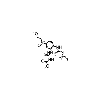 COCC[S+]([O-])c1ccc(NC(=S)NC(=O)OC)c(NC(=S)NC(=O)OC)c1